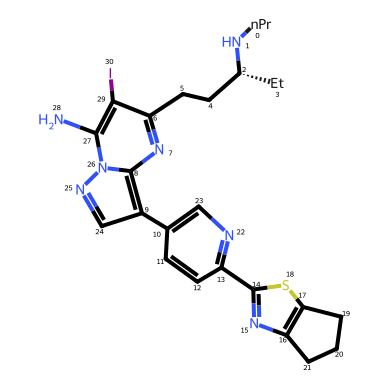 CCCN[C@H](CC)CCc1nc2c(-c3ccc(-c4nc5c(s4)CCC5)nc3)cnn2c(N)c1I